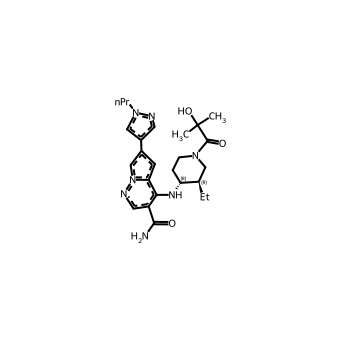 CCCn1cc(-c2cc3c(N[C@@H]4CCN(C(=O)C(C)(C)O)C[C@H]4CC)c(C(N)=O)cnn3c2)cn1